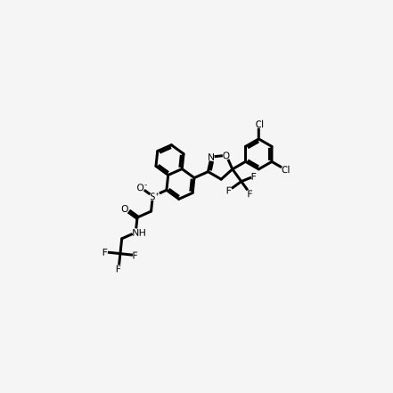 O=C(C[S+]([O-])c1ccc(C2=NOC(c3cc(Cl)cc(Cl)c3)(C(F)(F)F)C2)c2ccccc12)NCC(F)(F)F